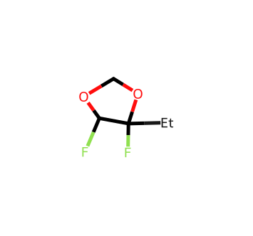 CCC1(F)OCOC1F